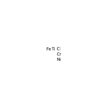 [C].[Cr].[Fe].[Ni].[Ti]